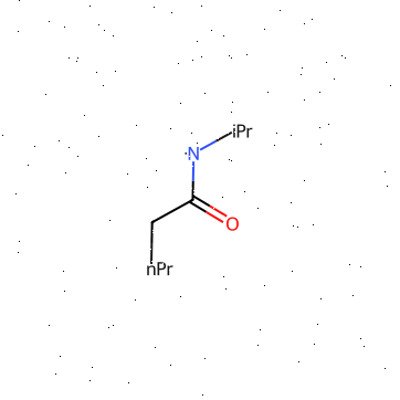 CCCCC(=O)[N]C(C)C